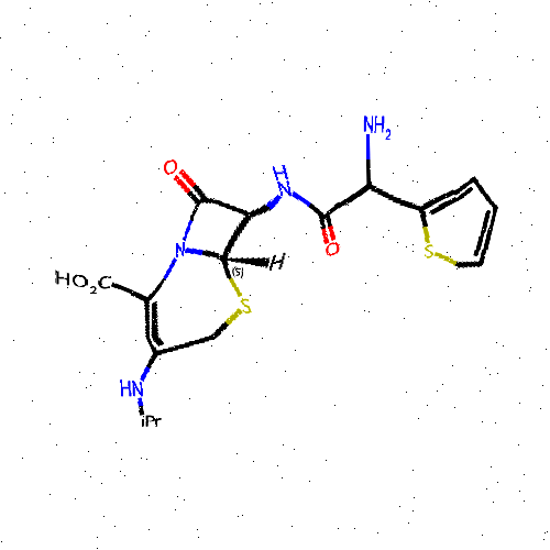 CC(C)NC1=C(C(=O)O)N2C(=O)C(NC(=O)C(N)c3cccs3)[C@@H]2SC1